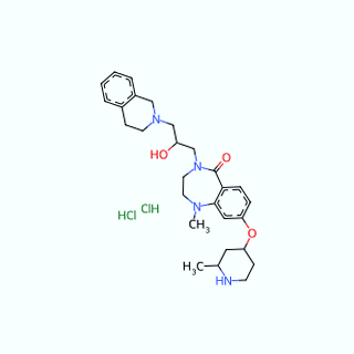 CC1CC(Oc2ccc3c(c2)N(C)CCN(CC(O)CN2CCc4ccccc4C2)C3=O)CCN1.Cl.Cl